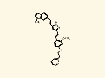 COc1cc(OCCc2ccccn2)ccc1C=Cc1cc(C=Cc2ccc3ccn(C)c3c2)[nH]n1